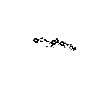 CC(C)(C)c1cc(NC(=O)Nc2ccc(Oc3ccnc4cc(OCCCN5CCN(c6ccccc6)CC5)c(C(N)=O)cc34)cc2Cl)[nH]n1